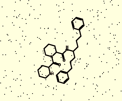 O=C(NC(CCCc1ccccc1)CCCc1ccccc1)C1CCCCN1C(=O)C1CCCCN1